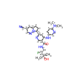 CN(C)c1ccc(Nc2cc(-c3ccc4cc(C#N)cnn34)ncc2C(=O)NC[C@@H](F)C(C)(C)O)cn1